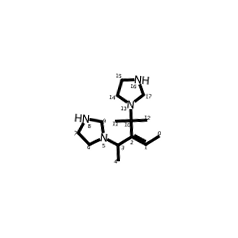 C/C=C(/C(C)N1CCNC1)C(C)(C)N1CCNC1